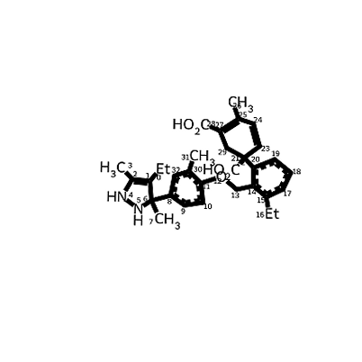 CCC1=C(C)NNC1(C)c1ccc(OCc2c(CC)cccc2C2(C(=O)O)C=CC(C)=C(C(=O)O)C2)c(C)c1